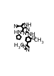 COc1cc(-c2cncn2C)ccc1Nc1nc(NC2CCCC2)c2c(C#N)c[nH]c2n1